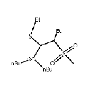 CCC[CH2][Sn]([CH2]CCC)[CH](SCC)C(CC)S(C)(=O)=O